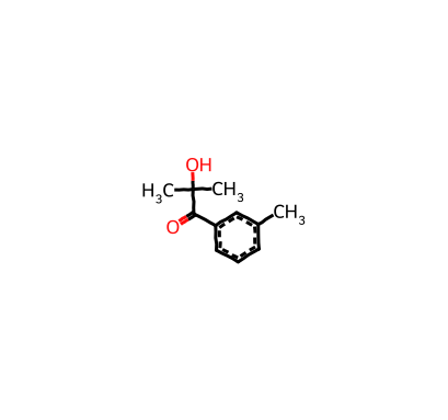 Cc1cccc(C(=O)C(C)(C)O)c1